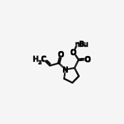 C=CC(=O)N1CCCC1C(=O)OCCCC